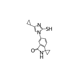 O=C1NC2(CC2)c2ccc(-n3cc(C4CC4)nc3S)cc21